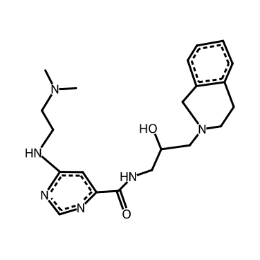 CN(C)CCNc1cc(C(=O)NCC(O)CN2CCc3ccccc3C2)ncn1